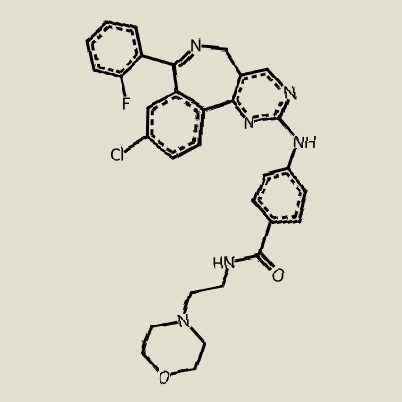 O=C(NCCN1CCOCC1)c1ccc(Nc2ncc3c(n2)-c2ccc(Cl)cc2C(c2ccccc2F)=NC3)cc1